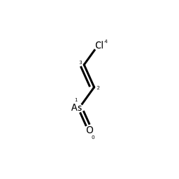 O=[As]C=CCl